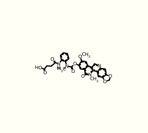 COc1cc2c(cc1OC(=O)N(C)c1ccccc1NC(=O)CCC(=O)O)c(=O)n(C)c1c3cc4c(cc3ncc21)OCO4